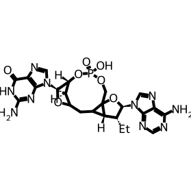 CC[C@H]1[C@H](n2cnc3c(N)ncnc32)OC23COP(=O)(O)O[C@@H]4[C@H](F)C(CC2[C@@H]13)O[C@H]4n1cnc2c(=O)[nH]c(N)nc21